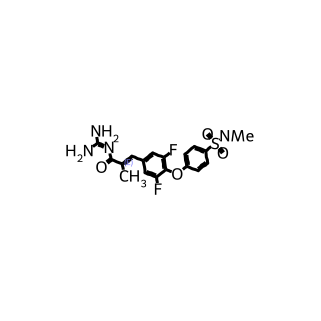 CNS(=O)(=O)c1ccc(Oc2c(F)cc(/C=C(\C)C(=O)N=C(N)N)cc2F)cc1